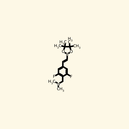 CN(C)Cc1c(F)cc(/C=C/B2OC(C)(C)C(C)(C)O2)cc1F